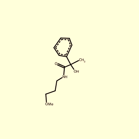 COCCCNC(=O)C(C)(O)c1ccccc1